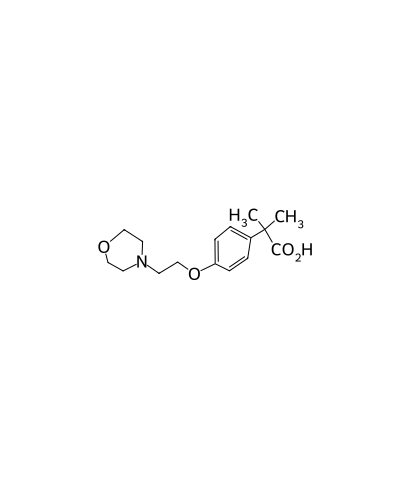 CC(C)(C(=O)O)c1ccc(OCCN2CCOCC2)cc1